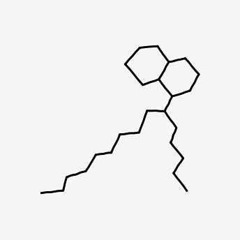 CCCCCCCCCC(CCCCC)C1CCCC2CCCCC21